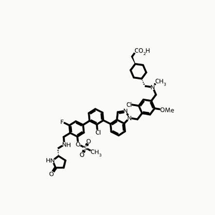 COc1cc(Cn2ncc3c(-c4cccc(-c5cc(F)c(CNC[C@@H]6CCC(=O)N6)c(OS(C)(=O)=O)c5)c4Cl)cccc32)c(Cl)cc1CN(C)C[C@H]1CC[C@H](CC(=O)O)CC1